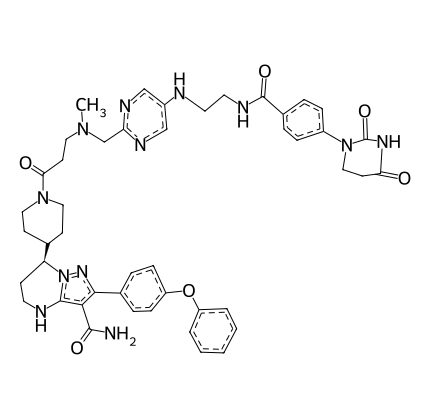 CN(CCC(=O)N1CCC([C@@H]2CCNc3c(C(N)=O)c(-c4ccc(Oc5ccccc5)cc4)nn32)CC1)Cc1ncc(NCCNC(=O)c2ccc(N3CCC(=O)NC3=O)cc2)cn1